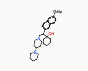 COc1ccc2cc(C(CN3CCC(N4CCCCC4)CC3)C3(O)CCCCC3)ccc2c1